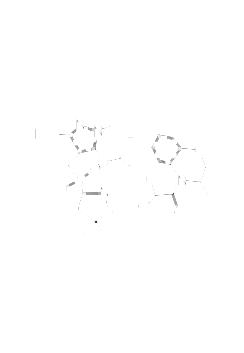 CC1COc2ccccc2N1C(=O)C(Cl)Cl.Cn1nc(C(F)(F)F)c(CS(=O)(=O)C2=NOC(C)(C)C2)c1OC(F)F